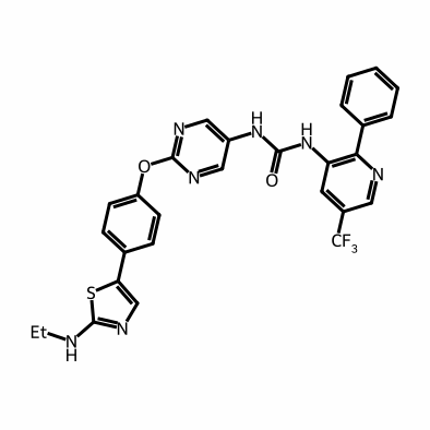 CCNc1ncc(-c2ccc(Oc3ncc(NC(=O)Nc4cc(C(F)(F)F)cnc4-c4ccccc4)cn3)cc2)s1